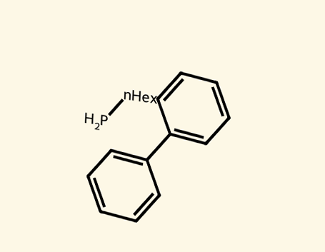 CCCCCCP.c1ccc(-c2ccccc2)cc1